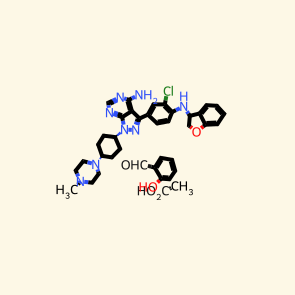 CC(=O)O.CN1CCN([C@H]2CC[C@H](n3nc(-c4ccc(NC5COc6ccccc65)c(Cl)c4)c4c(N)ncnc43)CC2)CC1.O=Cc1ccccc1O